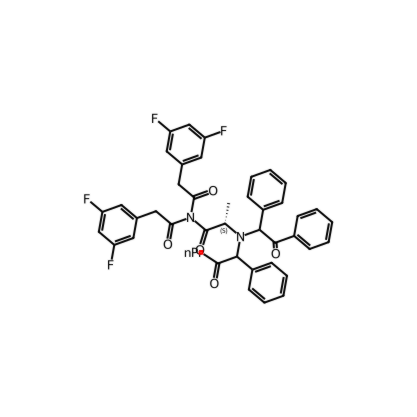 CCCC(=O)C(c1ccccc1)N(C(C(=O)c1ccccc1)c1ccccc1)[C@@H](C)C(=O)N(C(=O)Cc1cc(F)cc(F)c1)C(=O)Cc1cc(F)cc(F)c1